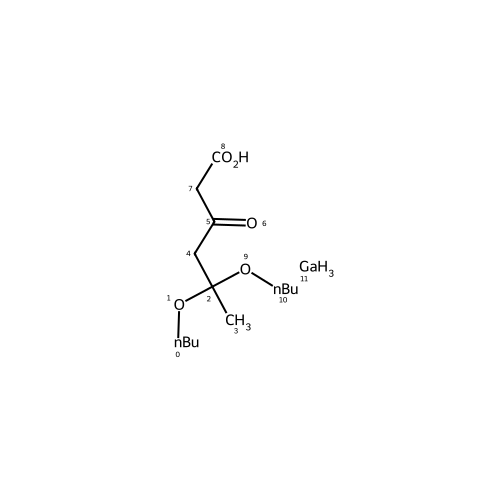 CCCCOC(C)(CC(=O)CC(=O)O)OCCCC.[GaH3]